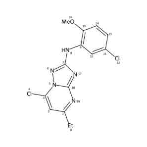 CCc1cc(Cl)n2nc(Nc3cc(Cl)ccc3OC)nc2n1